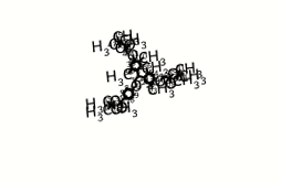 Cc1cc(C(COc2ccc(C(=O)OC(C)(C)C)cc2)c2cc(C)c(OCC(=O)OC(C)(C)C)cc2C)c(C)cc1OCC(=O)OC(C)(C)C